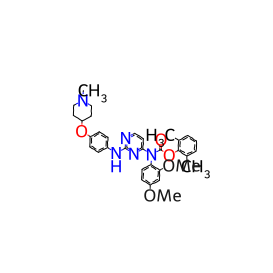 COc1ccc(N(C(=O)Oc2c(C)cccc2C)c2ccnc(Nc3ccc(OC4CCN(C)CC4)cc3)n2)c(OC)c1